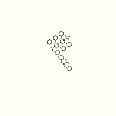 S=C([S-])N(Cc1ccccc1)Cc1ccccc1.S=C([S-])N(Cc1ccccc1)Cc1ccccc1.S=C([S-])N(Cc1ccccc1)Cc1ccccc1.S=C([S-])N(Cc1ccccc1)Cc1ccccc1.[Mo+4]